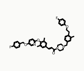 Cc1cc(CN2CCN(C(=O)C=Cc3cc(C)c(Oc4ccc(OCc5ccc(F)cc5)cn4)c(C)c3)CC2)ccc1CCOc1ccc(F)cc1